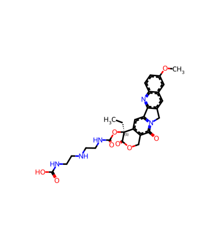 CC[C@@]1(OC(=O)NCCNCCNC(=O)O)C(=O)OCc2c1cc1n(c2=O)Cc2cc3cc(OC)ccc3nc2-1